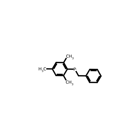 Cc1cc(C)c([P]Cc2ccccc2)c(C)c1